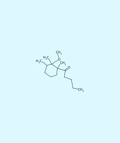 CCCCC(=O)C1(C)CCCC(C)C1(C)OC